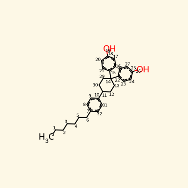 CCCCCCCc1ccc(C2CCC(c3ccc(O)cc3)(c3ccc(O)cc3)CC2)cc1